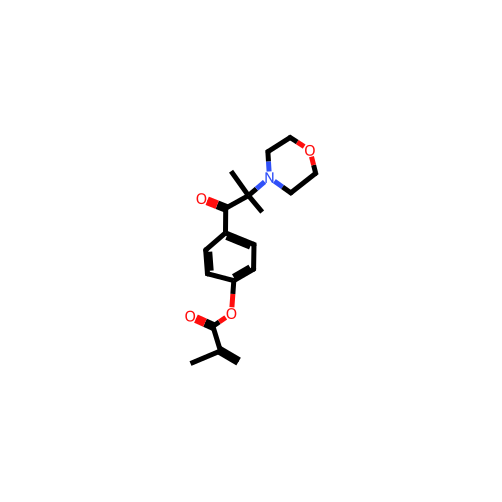 C=C(C)C(=O)Oc1ccc(C(=O)C(C)(C)N2CCOCC2)cc1